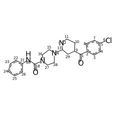 O=C(c1ccc(Cl)cc1)C1CC[N]C(N2CCN(C(=O)Nc3ccccc3)CC2)C1